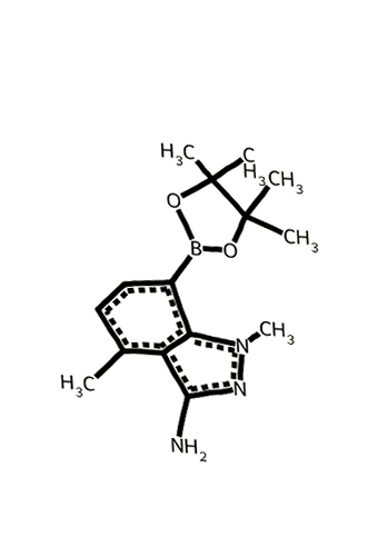 Cc1ccc(B2OC(C)(C)C(C)(C)O2)c2c1c(N)nn2C